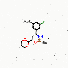 CSc1cc(F)cc([C@@H](CCC2OCCCO2)N[S@+]([O-])C(C)(C)C)c1